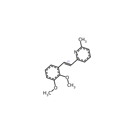 COc1cccc(/C=C/c2cccc(C)n2)c1OC